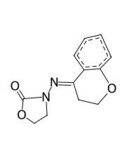 O=C1OCCN1/N=C1\CCOc2ccccc21